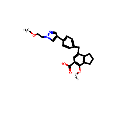 COCCn1cc(-c2ccc(Cc3cc(C(=O)O)c(OC)c4c3CCC4)cc2)cn1